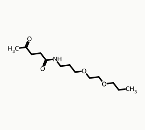 CCCOCCOCCCNC(=O)CCC(C)=O